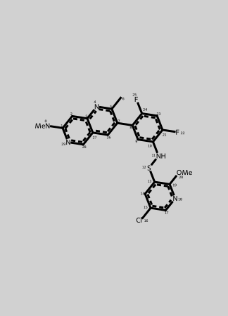 CNc1cc2nc(C)c(-c3cc(NSc4cc(Cl)cnc4OC)c(F)cc3F)cc2cn1